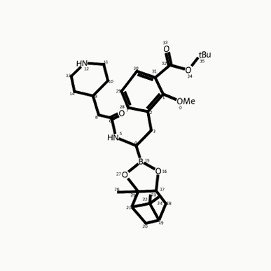 COc1c(CC(NC(=O)CC2CCNCC2)B2OC3CC4CC(C4(C)C)C3(C)O2)cccc1C(=O)OC(C)(C)C